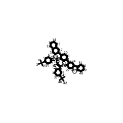 CC(C)(C)c1ccc(Nc2cc3ccccc3cc2-c2ccc3c4cc5c(cc4n4c3c2Bc2sc3ccc(C(C)(C)C)cc3c2-4)oc2ccccc25)cc1